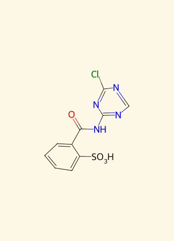 O=C(Nc1ncnc(Cl)n1)c1ccccc1S(=O)(=O)O